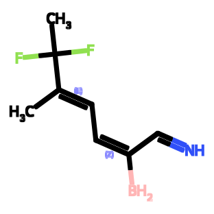 B/C(C=N)=C/C=C(\C)C(C)(F)F